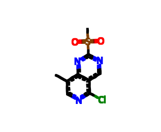 Cc1cnc(Cl)c2cnc(S(C)(=O)=O)nc12